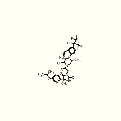 C/C=C\c1cc(C(O)(C(F)(F)F)C(F)(F)F)ccc1N1CC(C)N(C(=O)CN2C(=O)N[C@](C)(c3ccc(OC(C)C)cn3)C2=O)CC1C